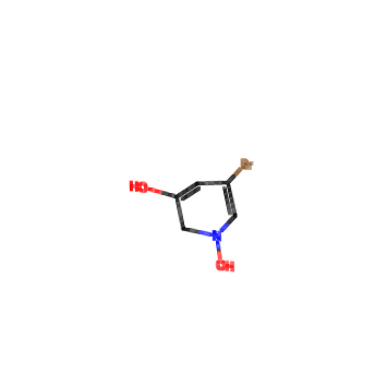 OC1=CC(Br)=CN(O)C1